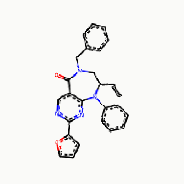 C=CC1CN(Cc2ccccc2)C(=O)c2cnc(-c3ccco3)nc2N1c1ccccc1